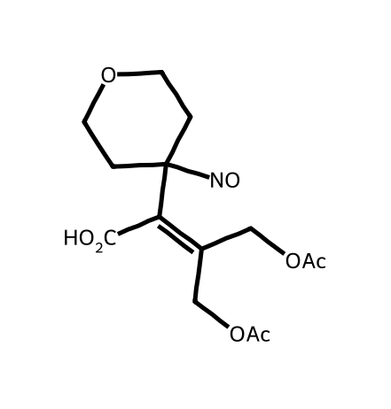 CC(=O)OCC(COC(C)=O)=C(C(=O)O)C1(N=O)CCOCC1